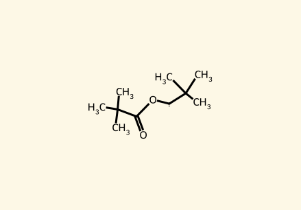 CC(C)(C)[CH]OC(=O)C(C)(C)C